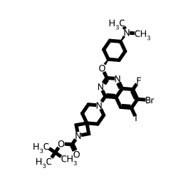 CN(C)[C@H]1CC[C@@H](Oc2nc(N3CCC4(CC3)CN(C(=O)OC(C)(C)C)C4)c3cc(I)c(Br)c(F)c3n2)CC1